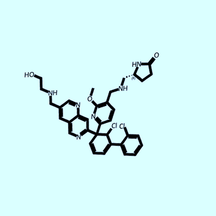 COc1nc(C2(c3cc4ncc(CNCCO)cc4cn3)C=CC=C(c3ccccc3Cl)C2Cl)ccc1CNC[C@H]1CCC(=O)N1